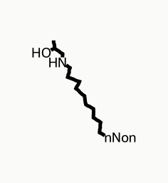 CCCCCCCCCCCCCCCCCCCNCC(C)O